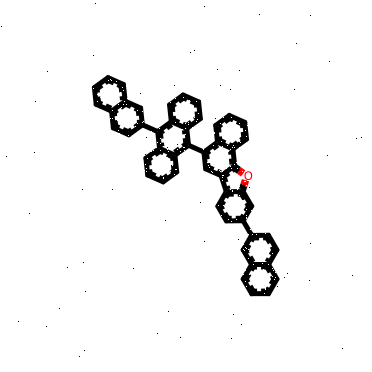 c1ccc2cc(-c3ccc4c(c3)oc3c5ccccc5c(-c5c6ccccc6c(-c6ccc7ccccc7c6)c6ccccc56)cc43)ccc2c1